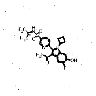 C[C@H](NS(=O)(=O)c1ccc(-c2c(C(N)=O)c3cc(F)c(O)cc3n2C2CCC2)nc1)C(F)(F)F